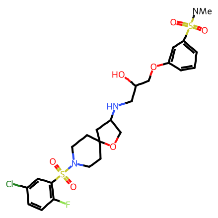 CNS(=O)(=O)c1cccc(OCC(O)CNC2COC3(CCN(S(=O)(=O)c4cc(Cl)ccc4F)CC3)C2)c1